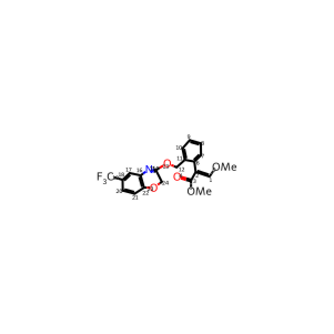 CO/C=C(/C(=O)OC)c1ccccc1COC1=Nc2cc(C(F)(F)F)ccc2OC1